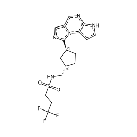 O=S(=O)(CCC(F)(F)F)NC[C@H]1CC[C@H](c2ncc3cnc4[nH]ccc4n23)C1